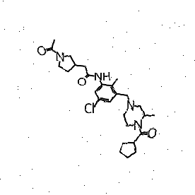 CC(=O)N1CCC(CC(=O)Nc2cc(Cl)cc(CN3CCN(C(=O)C4CCCC4)C(C)C3)c2C)C1